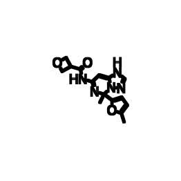 Cc1ccc(C2(C)N=C(NC(=O)C3COC3)C=C3NC=NN32)o1